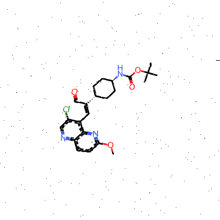 COc1ccc2ncc(Cl)c(/C=C(\C=O)[C@H]3CC[C@H](NC(=O)OC(C)(C)C)CC3)c2n1